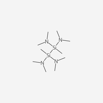 CN(C)[Si](C)(N(C)C)[Si](C)(N(C)C)N(C)C